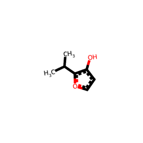 CC(C)c1occc1O